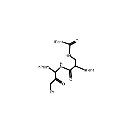 CCCCCC(CNC(=O)C(C)CCC)C(=O)NC(CCCCC)C(=O)CC(C)C